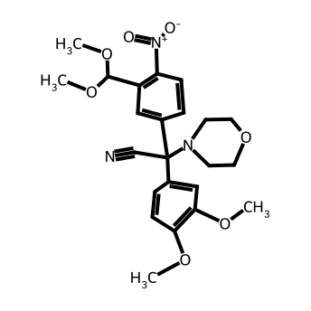 COc1ccc(C(C#N)(c2ccc([N+](=O)[O-])c(C(OC)OC)c2)N2CCOCC2)cc1OC